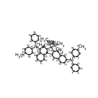 Cc1ccc(N(c2ccccc2)c2ccc3cc4c(cc3c2)C([Si](C)(C)C)([Si](C)(C)C)c2cc(N(c3ccccc3)c3ccc(C)cc3)c3ccccc3c2-4)cc1